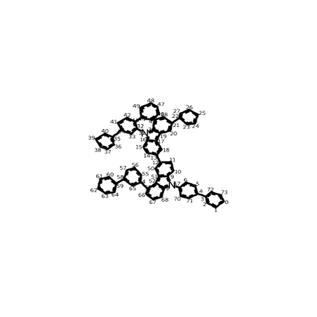 c1ccc(-c2ccc(-n3c4ccc(-c5ccc6c(c5)c5cc(-c7ccccc7)ccc5n6-c5cc(-c6ccccc6)ccc5-c5ccccc5)cc4c4c(-c5cccc(-c6ccccc6)c5)cccc43)cc2)cc1